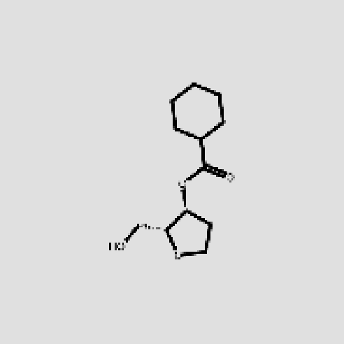 O=C(O[C@H]1CCO[C@@H]1CO)C1CCCCC1